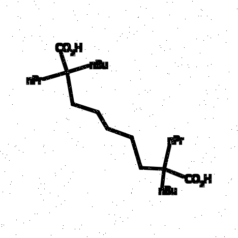 CCCCC(CCC)(CCCCCC(CCC)(CCCC)C(=O)O)C(=O)O